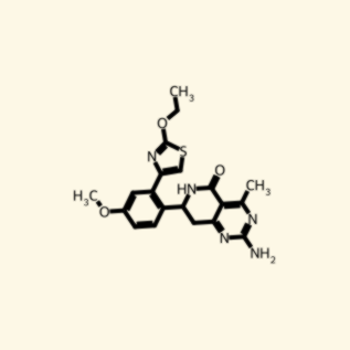 CCOc1nc(-c2cc(OC)ccc2C2Cc3nc(N)nc(C)c3C(=O)N2)cs1